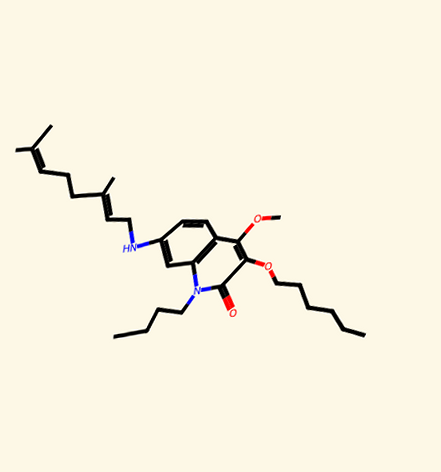 CCCCCCOc1c(OC)c2ccc(NC/C=C(\C)CCC=C(C)C)cc2n(CCCC)c1=O